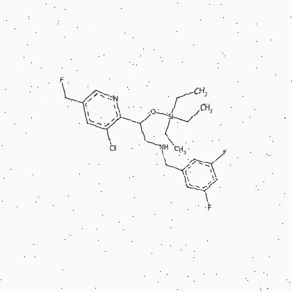 CC[Si](CC)(CC)OC(CNCc1cc(F)cc(F)c1)c1ncc(CF)cc1Cl